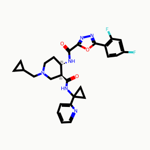 O=C(N[C@H]1CCN(CC2CC2)C[C@@H]1C(=O)NC1(c2ccccn2)CC1)c1nnc(-c2ccc(F)cc2F)o1